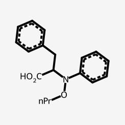 CCCON(c1ccccc1)C(Cc1ccccc1)C(=O)O